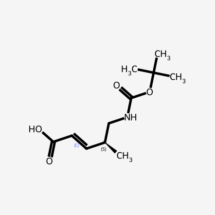 C[C@@H](/C=C/C(=O)O)CNC(=O)OC(C)(C)C